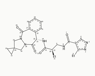 CCc1nnsc1C(=O)NC[C@@H](CC)C(=O)N[C@@H]1C(=O)N2CC3(CC3)CN2C(=O)c2ccccc21